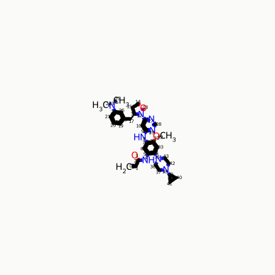 C=CC(=O)Nc1cc(Nc2cc(N3OCC[C@@H]3Cc3cccc(N(C)C)c3)ncn2)c(OC)cc1N1CCN(C2CC2)CC1